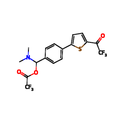 CN(C)C(OC(=O)C(F)(F)F)c1ccc(-c2ccc(C(=O)C(F)(F)F)s2)cc1